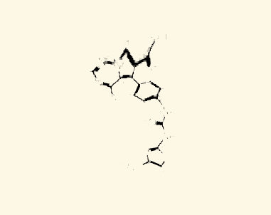 Cc1csc(NC(=O)Nc2ccc(-c3c(C(=O)O)cn4ncnc(N)c34)cc2)n1